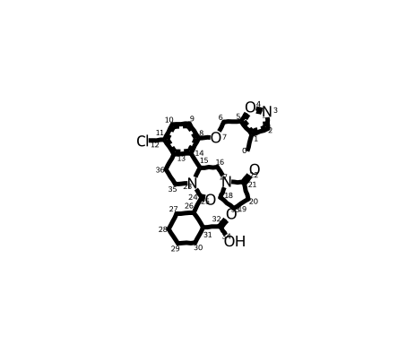 Cc1cnoc1COc1ccc(Cl)c2c1C(CN1CCCC1=O)N(C(=O)C1CCCCC1C(=O)O)CC2